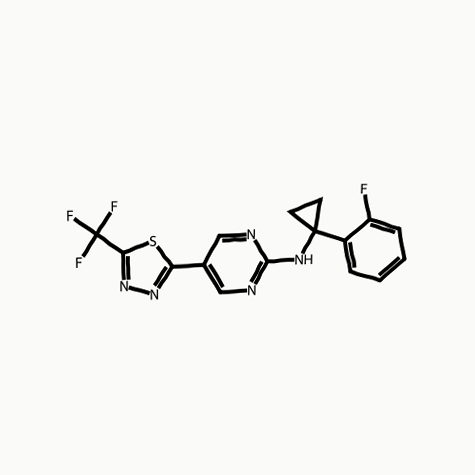 Fc1ccccc1C1(Nc2ncc(-c3nnc(C(F)(F)F)s3)cn2)CC1